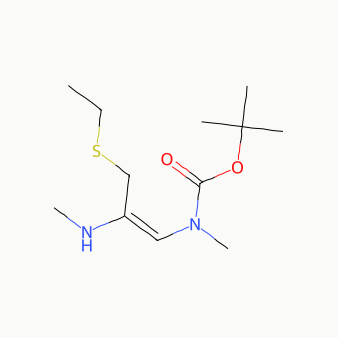 CCSC/C(=C\N(C)C(=O)OC(C)(C)C)NC